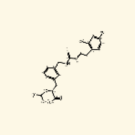 CC(C)O[C@@H](Cc1cccc(CNC(=O)OCCc2ccc(Cl)cc2Cl)c1)C(=O)O